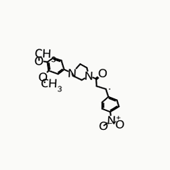 COc1ccc(N2CCN(C(=O)C[CH]c3ccc([N+](=O)[O-])cc3)CC2)cc1OC